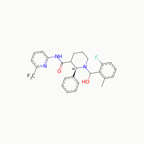 Cc1cccc(F)c1C(O)N1CCCC(C(=O)Nc2cccc(C(F)(F)F)n2)[C@@H]1c1ccccc1